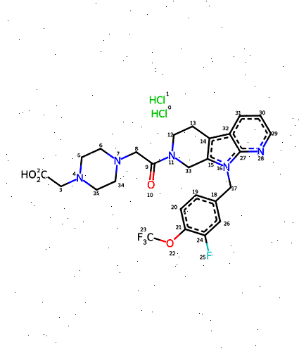 Cl.Cl.O=C(O)CN1CCN(CC(=O)N2CCc3c(n(Cc4ccc(OC(F)(F)F)c(F)c4)c4ncccc34)C2)CC1